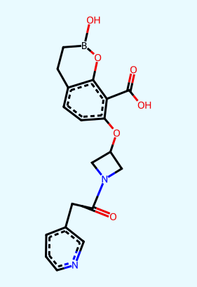 O=C(O)c1c(OC2CN(C(=O)Cc3cccnc3)C2)ccc2c1OB(O)CC2